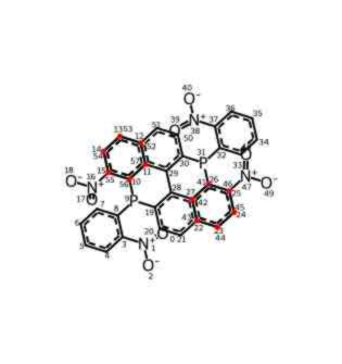 O=[N+]([O-])c1ccccc1P(c1ccccc1[N+](=O)[O-])c1ccc2ccccc2c1-c1c(P(c2ccccc2[N+](=O)[O-])c2ccccc2[N+](=O)[O-])ccc2ccccc12